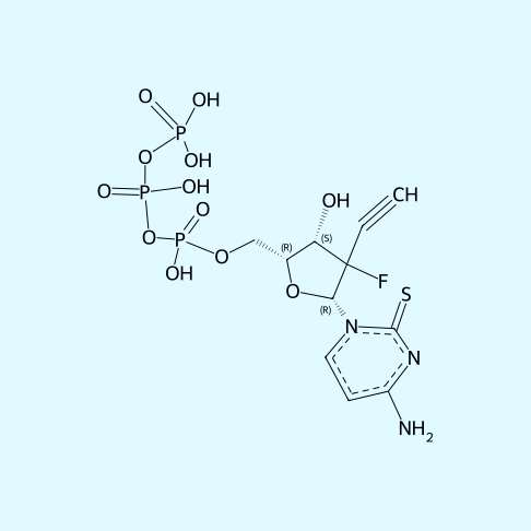 C#CC1(F)[C@@H](O)[C@@H](COP(=O)(O)OP(=O)(O)OP(=O)(O)O)O[C@H]1n1ccc(N)nc1=S